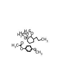 CCCC1CCC[Si](OC)(OC)C1OC.COc1ccc(OC(C)=O)cc1